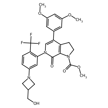 COC(=O)N1CCc2c(-c3cc(OC)cc(OC)c3)cn(-c3cc(N4CC(CO)C4)ccc3C(F)(F)F)c(=O)c21